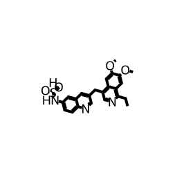 CCc1ncc(Cc2cnc3ccc(N[SH](=O)=O)cc3c2)c2cc(OC)c(OC)cc12